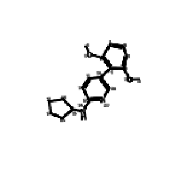 COc1cccc(OC)c1-c1ccc(NC2CCCC2)nc1